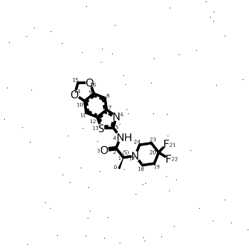 C[C@@H](C(=O)Nc1nc2cc3c(cc2s1)OCO3)N1CCC(F)(F)CC1